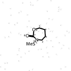 CSN1CCCCOC1=O